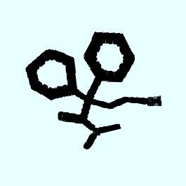 CN(C)C(=O)C(CCO)(c1ccccc1)c1ccccc1